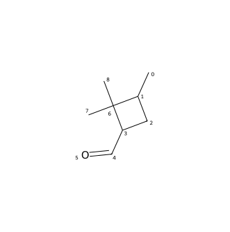 CC1CC(C=O)C1(C)C